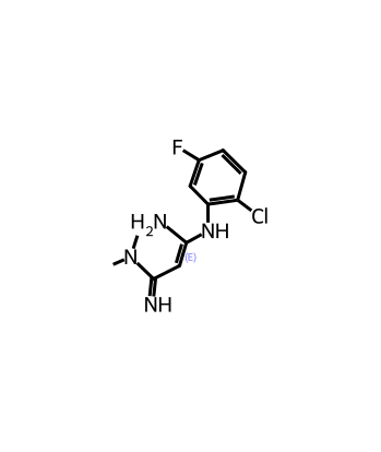 CN(C)C(=N)/C=C(\N)Nc1cc(F)ccc1Cl